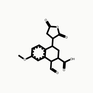 COc1ccc2c(c1)C(C=O)C(C(=O)O)CC2C1CC(=O)OC1=O